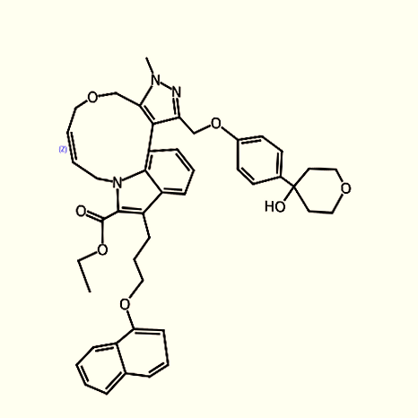 CCOC(=O)c1c(CCCOc2cccc3ccccc23)c2cccc3c2n1C/C=C\COCc1c-3c(COc2ccc(C3(O)CCOCC3)cc2)nn1C